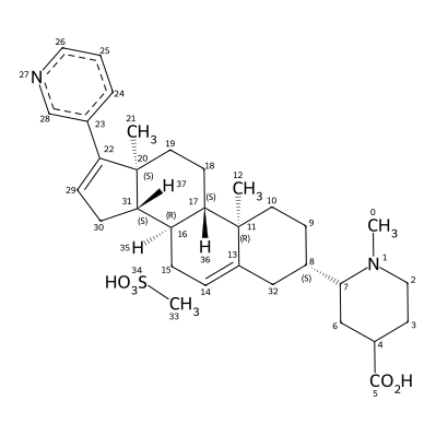 CN1CCC(C(=O)O)CC1[C@H]1CC[C@@]2(C)C(=CC[C@@H]3[C@@H]2CC[C@]2(C)C(c4cccnc4)=CC[C@@H]32)C1.CS(=O)(=O)O